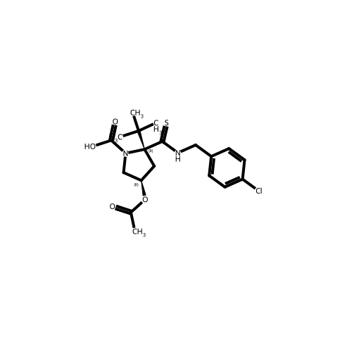 CC(=O)O[C@H]1CN(C(=O)O)[C@@](C(=S)NCc2ccc(Cl)cc2)(C(C)(C)C)C1